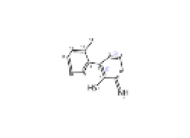 C/C=C\C(=C(\S)C=N)c1ccccc1C